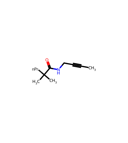 CC#CCNC(=O)C(C)(C)CCC